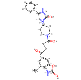 Cc1cc(C(=O)CCC(=O)N2CCC(n3cc(-c4ccccc4)[nH]c3=O)CC2)cc2oc(=O)[nH]c12